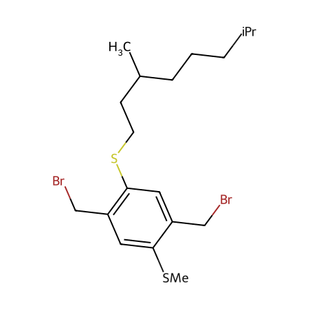 CSc1cc(CBr)c(SCCC(C)CCCC(C)C)cc1CBr